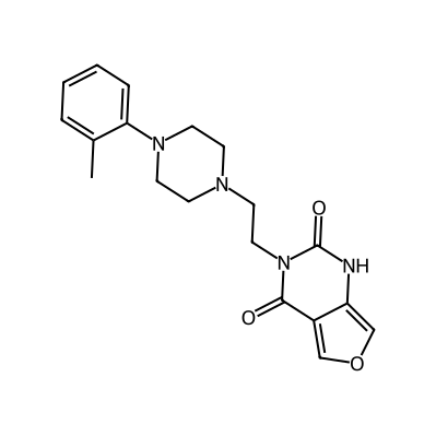 Cc1ccccc1N1CCN(CCn2c(=O)[nH]c3cocc3c2=O)CC1